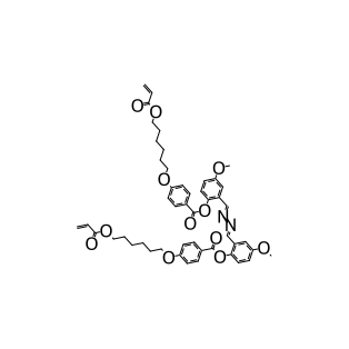 C=CC(=O)OCCCCCCOc1ccc(C(=O)Oc2ccc(OC)cc2/C=N/N=C/c2cc(OC)ccc2OC(=O)c2ccc(OCCCCCCOC(=O)C=C)cc2)cc1